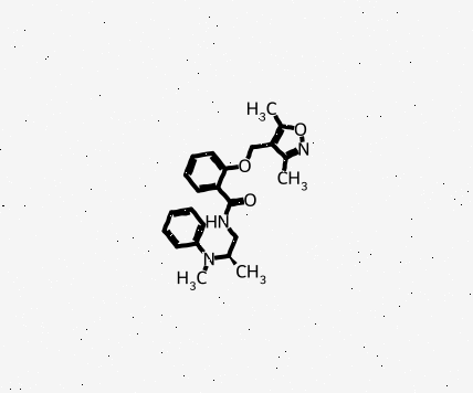 Cc1noc(C)c1COc1ccccc1C(=O)NC[C@@H](C)N(C)c1ccccc1